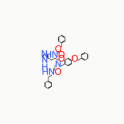 O=C(CN(Cc1ccc(OCc2ccccc2)cc1)C(=O)C(Cc1cnc[nH]1)NC(=O)OCc1ccccc1)NCCc1ccccc1